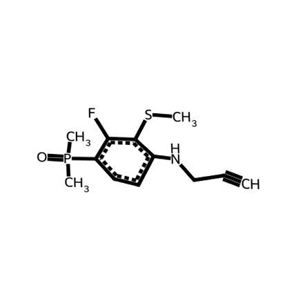 C#CCNc1ccc(P(C)(C)=O)c(F)c1SC